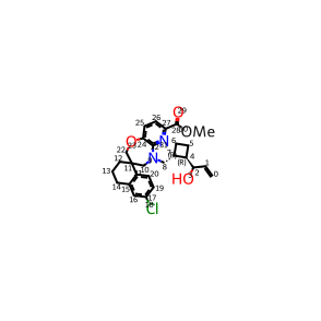 C=CC(O)[C@@H]1CC[C@H]1CN1CC2(CCCc3cc(Cl)ccc32)COc2ccc(C(=O)OC)nc21